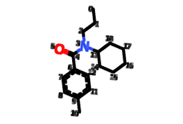 CCCN(C(=O)c1ccc(C)cc1)C1CCCCC1